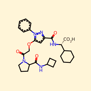 O=C(N[C@H](C(=O)O)C1CCCCC1)c1cc(OCC(=O)N2CCCC2C(=O)NC2CCC2)n(-c2ccccc2)n1